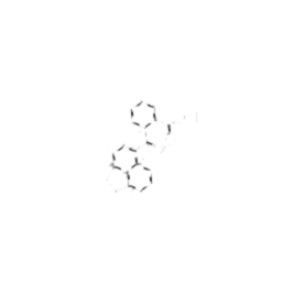 O=C(O)c1ccccc1C(=O)c1ccc2c3c(cccc13)CC2